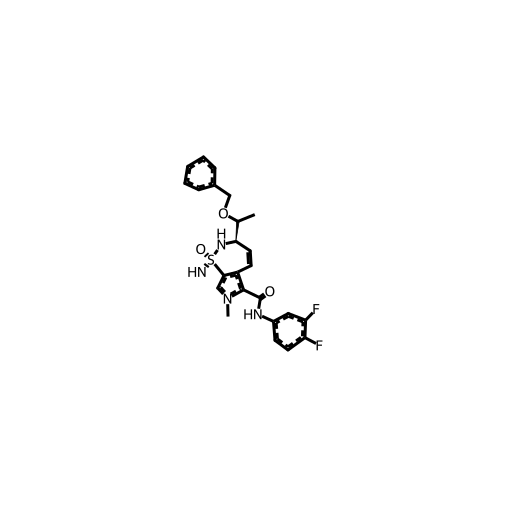 CC(OCc1ccccc1)[C@H]1C=Cc2c(cn(C)c2C(=O)Nc2ccc(F)c(F)c2)S(=N)(=O)N1